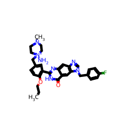 CCCOc1ccc(C[N+]2(N)CCN(C)CC2)cc1-c1nc2cc3ncn(Cc4ccc(F)cc4)c3cc2c(=O)[nH]1